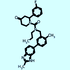 CCCN(Cc1cc(-c2ccc3nc(C)[nH]c3c2)ccc1C)C(=O)N1CCC(=O)CC1c1cccc(F)c1